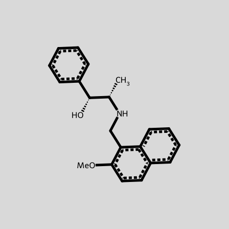 COc1ccc2ccccc2c1CN[C@@H](C)[C@H](O)c1ccccc1